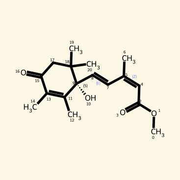 COC(=O)/C=C(C)\C=C\[C@@]1(O)C(C)=C(C)C(=O)CC1(C)C